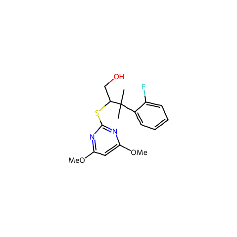 COc1cc(OC)nc(SC(CO)C(C)(C)c2ccccc2F)n1